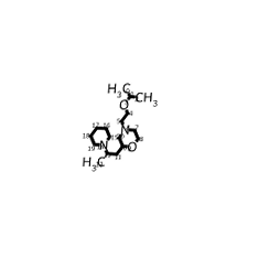 CC(C)OCCN1CCOC(C[C@H](C)N2CCCCC2)C1